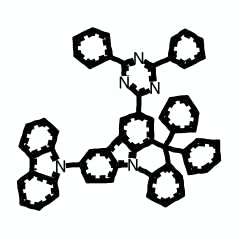 c1ccc(-c2nc(-c3ccccc3)nc(-c3cc4c5c(c3)c3cc(-n6c7ccccc7c7ccccc76)ccc3n5-c3ccccc3C4(c3ccccc3)c3ccccc3)n2)cc1